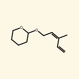 C=CC(C)=CCOC1CCCCO1